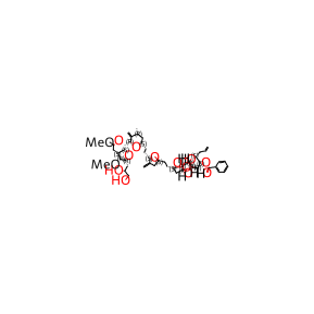 C=CC[C@@H]1O[C@@H]2[C@H]3O[C@@H]4C[C@](CC[C@H]5CC(=C)[C@H](CC[C@H]6C[C@@H](C)C(=C)[C@@H](C[C@@H]7O[C@H](CC(O)CO)[C@H](OC)[C@H]7CC(=O)OC)O6)O5)(O[C@H]3[C@H]1OC(=O)c1ccccc1)O[C@H]24